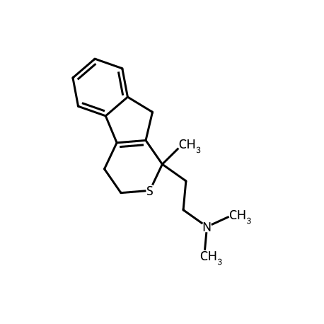 CN(C)CCC1(C)SCCC2=C1Cc1ccccc12